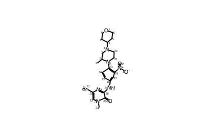 CC1CN(C2CCOCC2)CCN1c1ccc(Nc2nc(Br)cn(C)c2=O)cc1[N+](=O)[O-]